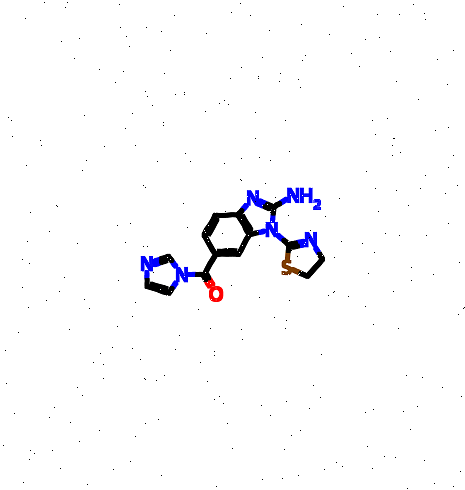 Nc1nc2ccc(C(=O)n3ccnc3)cc2n1C1=NCCS1